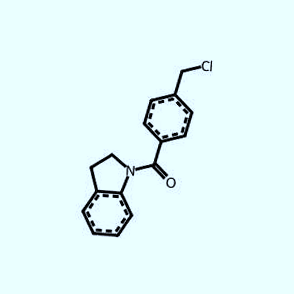 O=C(c1ccc(CCl)cc1)N1CCc2ccccc21